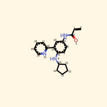 C=CC(=O)Nc1ccc(NC2CCCC2)c(-c2ccccn2)c1